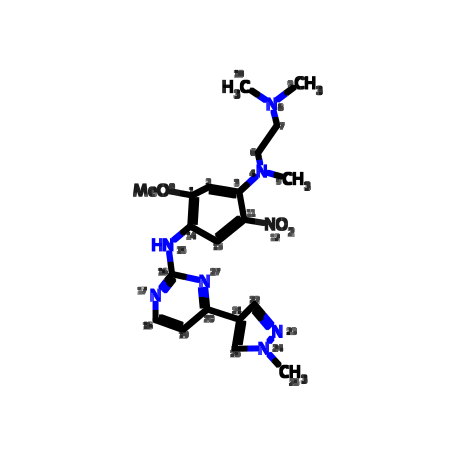 COc1cc(N(C)CCN(C)C)c([N+](=O)[O-])cc1Nc1nccc(-c2cnn(C)c2)n1